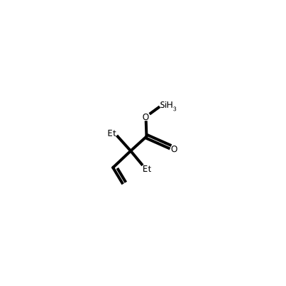 C=CC(CC)(CC)C(=O)O[SiH3]